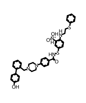 O=C(NSc1ccc(NCCSc2ccccc2)c([NH+]([O-])O)c1)c1ccc(N2CCN(Cc3ccccc3-c3ccc(O)cc3)CC2)cc1